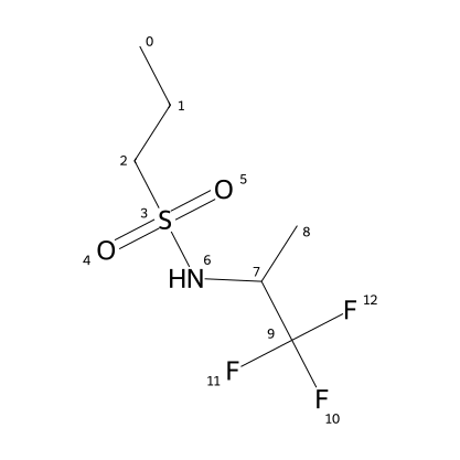 CCCS(=O)(=O)NC(C)C(F)(F)F